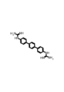 N=C(N)Nc1ccc(-c2ccc(-c3ccc(NC(=N)N)cc3)cc2)cc1